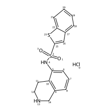 Cl.O=S(=O)(Nc1cccc2c1CCNC2)c1cc2ccccc2s1